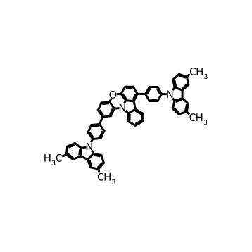 Cc1ccc2c(c1)c1cc(C)ccc1n2-c1ccc(-c2ccc3c(c2)-n2c4ccccc4c4c(-c5ccc(-n6c7ccc(C)cc7c7cc(C)ccc76)cc5)ccc(c42)O3)cc1